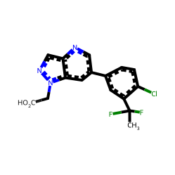 CC(F)(F)c1cc(-c2cnc3cnn(CC(=O)O)c3c2)ccc1Cl